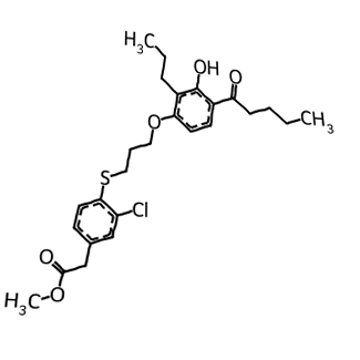 CCCCC(=O)c1ccc(OCCCSc2ccc(CC(=O)OC)cc2Cl)c(CCC)c1O